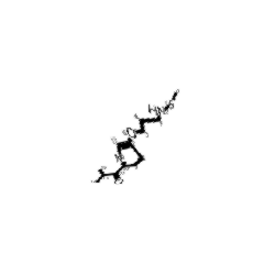 CSNCCCOc1ccc(C(=O)C(C)C)nc1